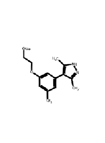 [CH2]c1n[nH]c(C)c1-c1cc(OCCOC)cc(C(F)(F)F)c1